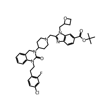 CC(C)(C)OC(=O)c1ccc2nc(CN3CCC(N4Cc5ccccc5N(CCc5ccc(Cl)cc5F)C4=O)CC3)n(CC3CCO3)c2c1